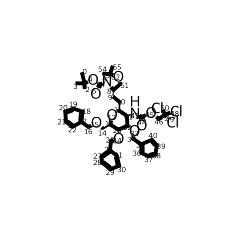 CC(C)(C)OC(=O)N1[C@@H](CC[C@@H]2O[C@H](COCc3ccccc3)[C@@H](OCc3ccccc3)[C@H](OCc3ccccc3)[C@H]2NC(=O)OCC(Cl)(Cl)Cl)COC1(C)C